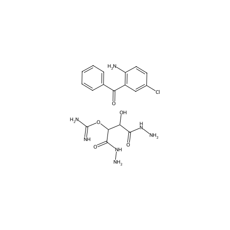 N=C(N)OC(C(=O)NN)C(O)C(=O)NN.Nc1ccc(Cl)cc1C(=O)c1ccccc1